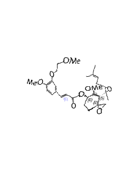 COCCOc1cc(/C=C/C(=O)O[C@@H]2CC[C@]3(CO3)[C@@H](C3(C)OC3CC=C(C)C)[C@@H]2OC)ccc1OC